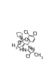 CC1=C(S(=O)(=O)N2CCCC2)C(c2ccc(Cl)c(Cl)c2)n2nc(C)c(Cl)c2N1